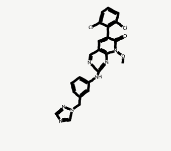 COn1c(=O)c(-c2c(Cl)cccc2Cl)cc2cnc(Nc3cccc(Cn4cncn4)c3)nc21